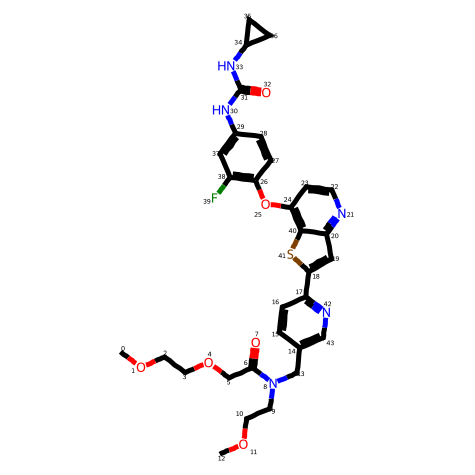 COCCOCC(=O)N(CCOC)Cc1ccc(-c2cc3nccc(Oc4ccc(NC(=O)NC5CC5)cc4F)c3s2)nc1